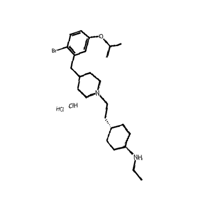 CCN[C@H]1CC[C@H](CCN2CCC(Cc3cc(OC(C)C)ccc3Br)CC2)CC1.Cl.Cl